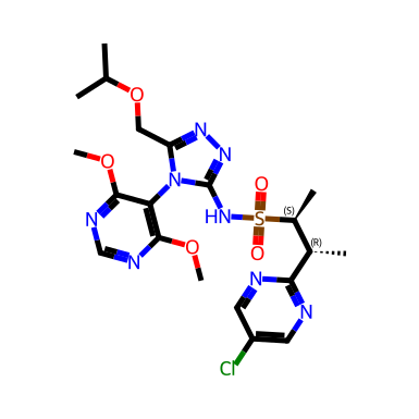 COc1ncnc(OC)c1-n1c(COC(C)C)nnc1NS(=O)(=O)[C@@H](C)[C@H](C)c1ncc(Cl)cn1